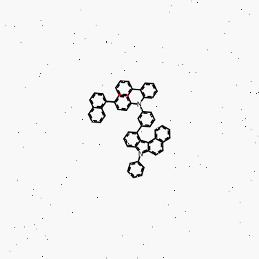 c1ccc(-c2ccccc2N(c2ccc(-c3cccc4ccccc34)cc2)c2cccc(-c3cccc4c3c3c5ccccc5ccc3n4-c3ccccc3)c2)cc1